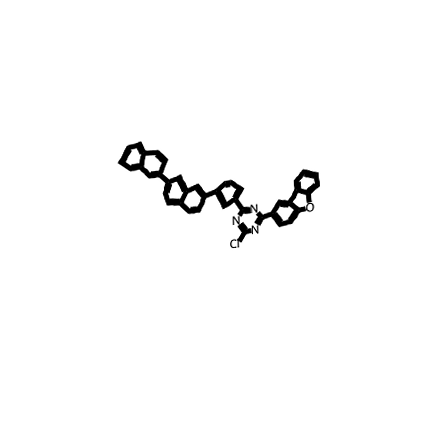 Clc1nc(-c2cccc(-c3ccc4ccc(-c5ccc6ccccc6c5)cc4c3)c2)nc(-c2ccc3oc4ccccc4c3c2)n1